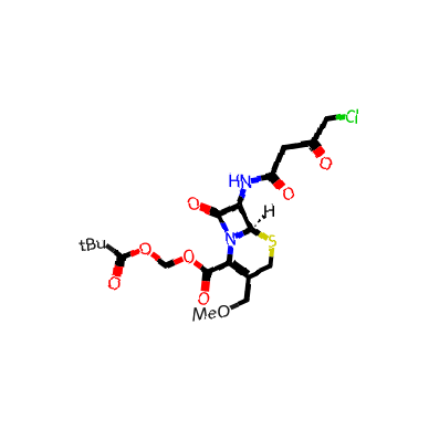 COCC1=C(C(=O)OCOC(=O)C(C)(C)C)N2C(=O)C(NC(=O)CC(=O)CCl)[C@H]2SC1